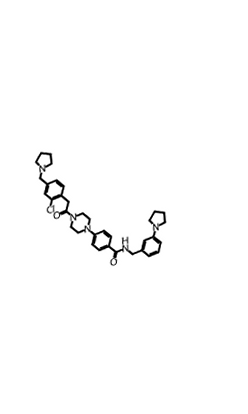 O=C(NCc1cccc(N2CCCC2)c1)c1ccc(N2CCN(C(=O)Cc3ccc(CN4CCCC4)cc3Cl)CC2)cc1